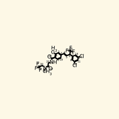 Cc1cc(/C=C/C(c2cc(Cl)cc(Cl)c2)C(F)(F)F)ccc1C(=O)NCC(=O)N(C)CC(F)(F)F